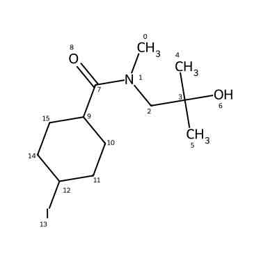 CN(CC(C)(C)O)C(=O)C1CCC(I)CC1